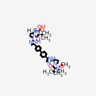 COCN(C)[C@H](C(=O)N1CCC[C@H]1c1ncc(-c2ccc(-c3ccc(-c4cnc([C@@H]5CCCN5C(=O)[C@H](C(C)C)N(C)C(=O)O)[nH]4)cc3)cc2)[nH]1)C(C)C